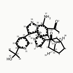 CC(=O)c1c([C@H]2C[C@H]3CC[C@@H](C2)N3C(=O)c2cnn[nH]2)nc2c(-c3ccc(C(C)(C)O)nc3)cnn2c1N